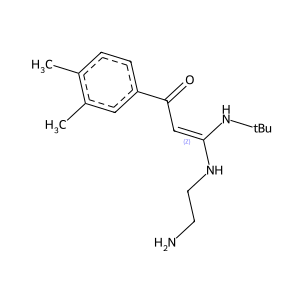 Cc1ccc(C(=O)/C=C(/NCCN)NC(C)(C)C)cc1C